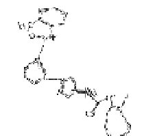 Cc1ncccc1NC(=O)c1cccc(-n2cc(NC(=O)Nc3ccccc3Cl)cn2)c1